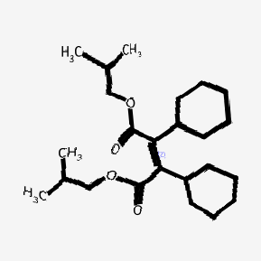 CC(C)COC(=O)/C(=C(\C(=O)OCC(C)C)C1CCCCC1)C1CCCCC1